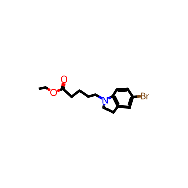 CCOC(=O)CCCCN1CCc2cc(Br)ccc21